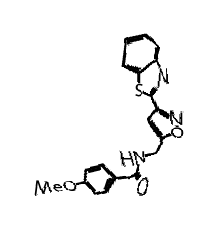 COc1ccc(C(=O)NCc2cc(-c3nc4ccccc4s3)no2)cc1